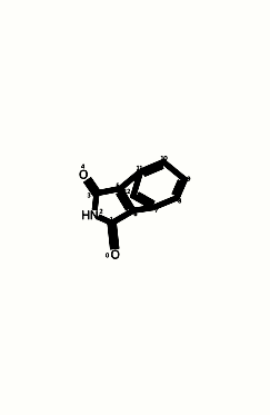 O=C1NC(=O)C2=C1c1cccc2c1